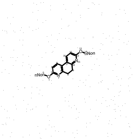 CCCCCCCCCOc1ccc2c(n1)CCc1nc(OCCCCCCCCC)ccc1-2